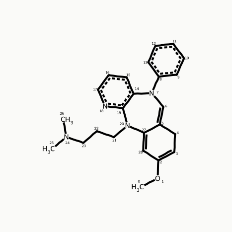 COC1=CCC2=CN(c3ccccc3)c3cccnc3N(CCCN(C)C)C2=C1